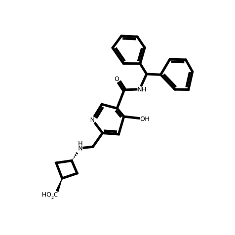 O=C(NC(c1ccccc1)c1ccccc1)c1cnc(CN[C@H]2C[C@H](C(=O)O)C2)cc1O